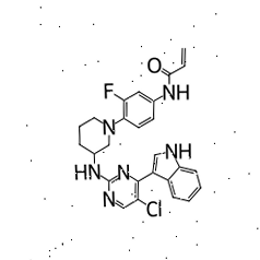 C=CC(=O)Nc1ccc(N2CCCC(Nc3ncc(Cl)c(-c4c[nH]c5ccccc45)n3)C2)c(F)c1